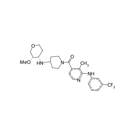 CO[C@@H]1COCC[C@@H]1NC1CCN(C(=O)c2ccnc(Nc3cccc(C(F)(F)F)c3)c2C)CC1